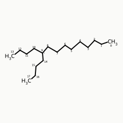 CCCCCCCCC[C](CCCC)CCCC